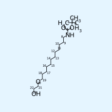 CC(C)(C)OC(=O)NCCCCCCCCCCCCOCCO